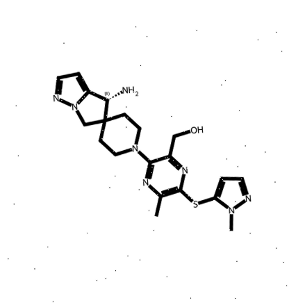 Cc1nc(N2CCC3(CC2)Cn2nccc2[C@@H]3N)c(CO)nc1Sc1ccnn1C